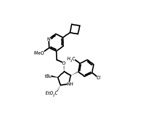 CCOC(=O)[C@H]1N[C@@H](c2cc(Cl)ccc2C)[C@@H](OCc2cc(C3CCC3)cnc2OC)[C@@H]1C(C)(C)C